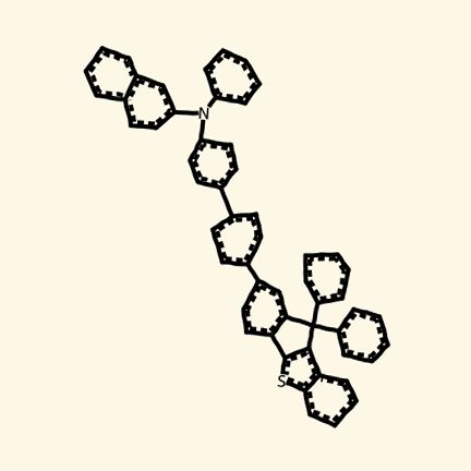 c1ccc(N(c2ccc(-c3ccc(-c4ccc5c(c4)C(c4ccccc4)(c4ccccc4)c4c-5sc5ccccc45)cc3)cc2)c2ccc3ccccc3c2)cc1